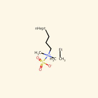 CCC.CCCCCCCCCC[N+](C)(C)S(=O)(=O)[O-]